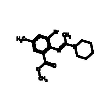 COC(=O)c1cc(C)cc(Br)c1N=C(C)N1CCCCC1